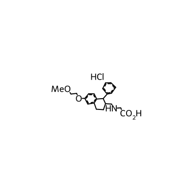 COCCOc1ccc2c(c1)CCC(CNCC(=O)O)C2c1ccccc1.Cl